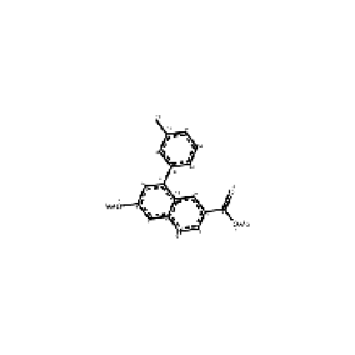 COC(=O)c1cnc2cc(OC)cc(-c3cccc(C)c3)c2c1